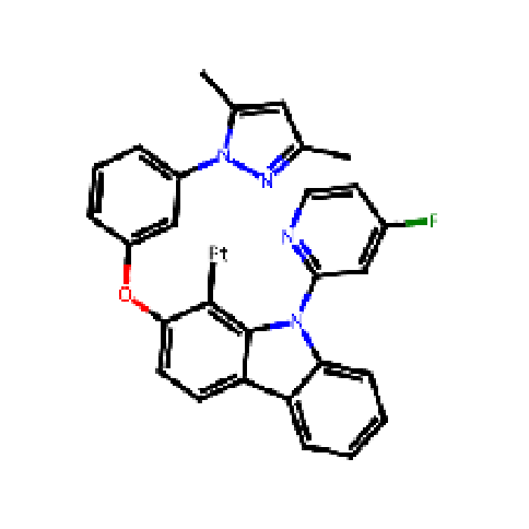 Cc1cc(C)n(-c2cccc(Oc3ccc4c5ccccc5n(-c5cc(F)ccn5)c4[c]3[Pt])c2)n1